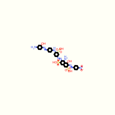 Nc1ccc(/N=N/c2ccc(Nc3ccc(/N=N/c4c(S(=O)(=O)O)cc5cc(S(=O)(=O)O)c(/N=N/c6ccc([N+](=O)[O-])cc6)c(O)c5c4N)cc3S(=O)(=O)O)cc2)c(O)c1